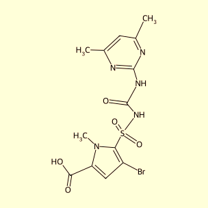 Cc1cc(C)nc(NC(=O)NS(=O)(=O)c2c(Br)cc(C(=O)O)n2C)n1